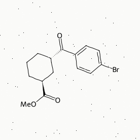 COC(=O)[C@H]1CCC[C@H](C(=O)c2ccc(Br)cc2)C1